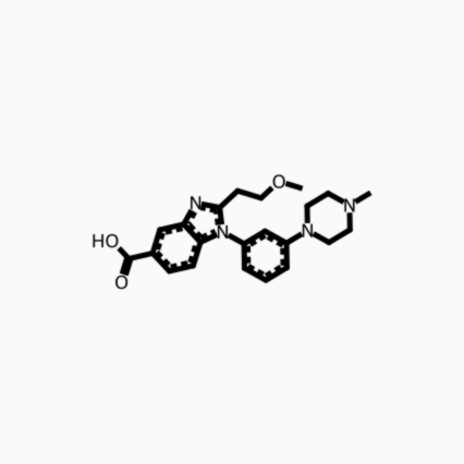 COCCc1nc2cc(C(=O)O)ccc2n1-c1cccc(N2CCN(C)CC2)c1